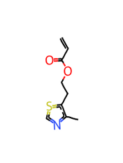 C=CC(=O)OCCc1scnc1C